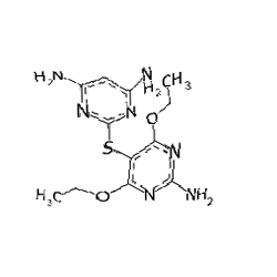 CCOc1nc(N)nc(OCC)c1Sc1nc(N)cc(N)n1